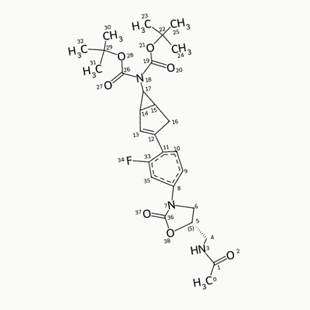 CC(=O)NC[C@H]1CN(c2ccc(C3=CC4C(C3)C4N(C(=O)OC(C)(C)C)C(=O)OC(C)(C)C)c(F)c2)C(=O)O1